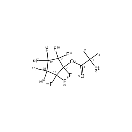 CCC(C)(C)C(=O)OC1(F)C(F)(F)C(F)(F)C(F)(F)C1(F)F